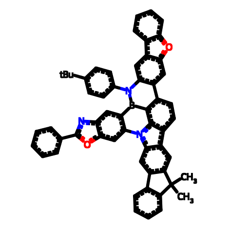 CC(C)(C)c1ccc(N2B3c4cc5nc(-c6ccccc6)oc5cc4-n4c5cc6c(cc5c5ccc(c3c54)-c3cc4oc5ccccc5c4cc32)C(C)(C)c2ccccc2-6)cc1